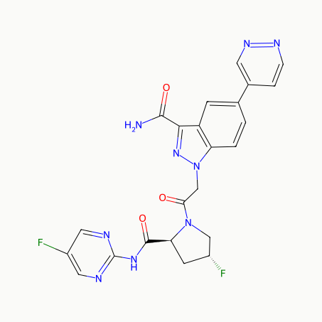 NC(=O)c1nn(CC(=O)N2C[C@H](F)C[C@H]2C(=O)Nc2ncc(F)cn2)c2ccc(-c3ccnnc3)cc12